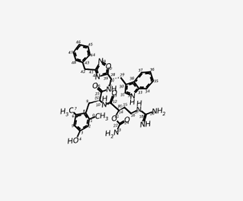 Cc1cc(O)cc(C)c1C[C@H](NC(=O)[C@@H](CCNC(=N)N)OC(N)=O)C(=O)N[C@@H](Cc1c[nH]c2ccccc12)c1nc(Cc2ccccc2)no1